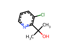 CC(C)(O)c1ncccc1Cl